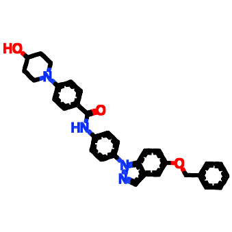 O=C(Nc1ccc(-n2ncc3cc(OCc4ccccc4)ccc32)cc1)c1ccc(N2CCC(O)CC2)cc1